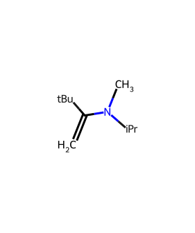 C=C(N(C)C(C)C)C(C)(C)C